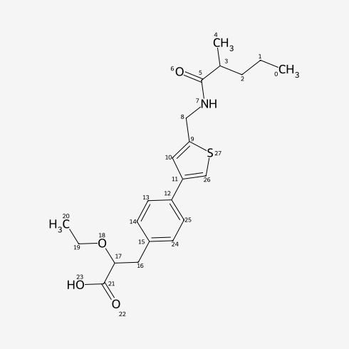 CCCC(C)C(=O)NCc1cc(-c2ccc(CC(OCC)C(=O)O)cc2)cs1